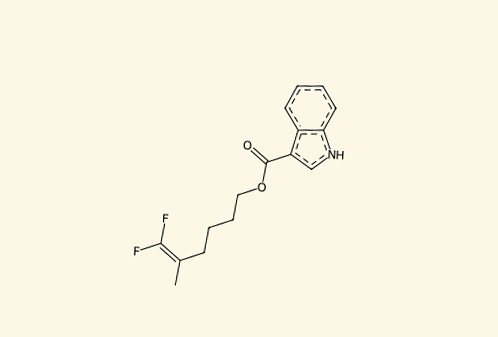 CC(CCCCOC(=O)c1c[nH]c2ccccc12)=C(F)F